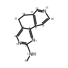 CNc1ncc2c(n1)-c1ccncc1CC2